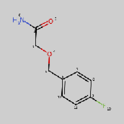 NC(=O)COCc1ccc(F)cc1